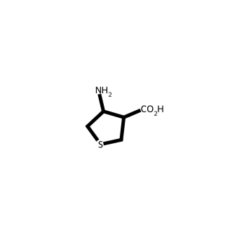 NC1CSCC1C(=O)O